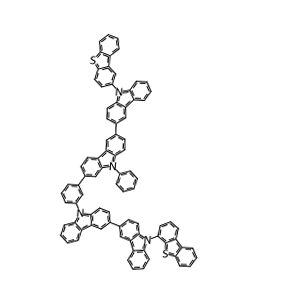 c1ccc(-n2c3ccc(-c4ccc5c(c4)c4ccccc4n5-c4ccc5sc6ccccc6c5c4)cc3c3ccc(-c4cccc(-n5c6ccccc6c6cc(-c7ccc8c(c7)c7ccccc7n8-c7cccc8c7sc7ccccc78)ccc65)c4)cc32)cc1